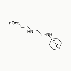 CCCCCCCCCCNCCNC12CCC(CC1)CC2